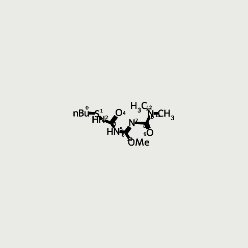 CCCCSNC(=O)NC(=NC(=O)N(C)C)OC